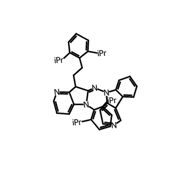 CC(C)c1cccc(C(C)C)c1CCC1/C(=N/n2c3ccccc3c3cnccc32)N(c2c(C(C)C)cccc2C(C)C)c2cccnc21